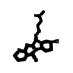 CN(C)CCON=C1c2cc(Cl)ccc2-n2c1nc1ncccc1c2=O